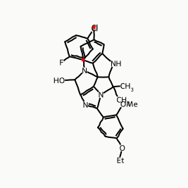 CCOc1ccc(-c2nc3c4n2C(C)(C)C2Nc5cc(Cl)ccc5C42N(c2cc(Cl)ccc2F)C3O)c(OC)c1